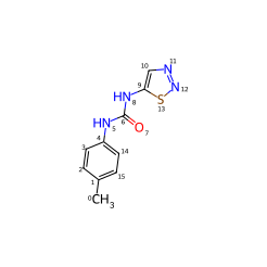 Cc1ccc(NC(=O)Nc2cnns2)cc1